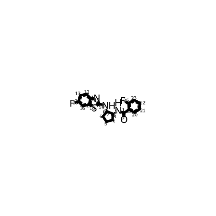 O=C(N[C@@H]1CCC[C@H]1Nc1nc2ccc(F)cc2s1)c1ccccc1F